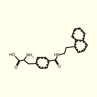 NC(Cc1ccc(C(=O)NCCc2cccc3ccccc23)cc1)C(=O)O